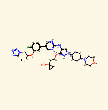 CC(Cn1cnnn1)Oc1cc(-c2cnc(Nc3cn(C4CCC(N5CCOCC5)CC4)nc3OCCC3(O)CC3)nc2)ccc1Cl